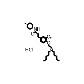 CCCCCN(CCCCC)CCOc1ccc(C=CC(=O)N[C@H]2CC[C@H](C)CC2)cc1OC.Cl